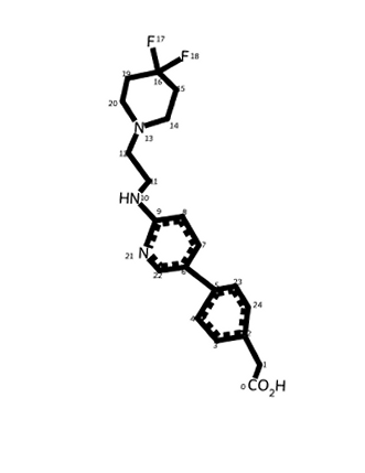 O=C(O)Cc1ccc(-c2ccc(NCCN3CCC(F)(F)CC3)nc2)cc1